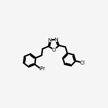 CC(C)c1ccccc1CCc1nnc(Cc2cccc(Cl)c2)o1